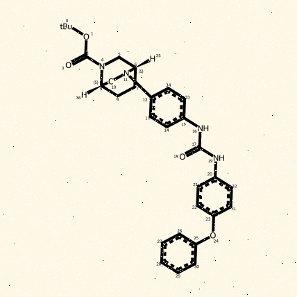 CC(C)(C)OC(=O)N1C[C@@H]2CC[C@H]1CN2c1ccc(NC(=O)Nc2ccc(Oc3ccccc3)cc2)cc1